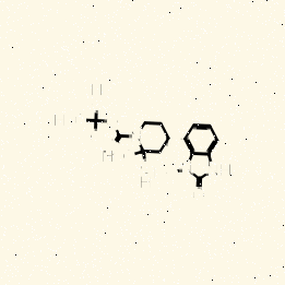 Cn1c(=O)[nH]c2cccc([C@H]3CCN(C(=O)OC(C)(C)C)C(C)(C)C3)c21